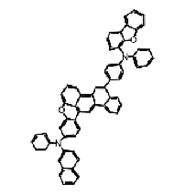 c1ccc(N(c2ccc3c(c2)Oc2cccc4c2c-3cc2c3ccccc3c(-c3ccc(N(c5ccccc5)c5cccc6c5oc5ccccc56)cc3)cc42)c2ccc3ccccc3c2)cc1